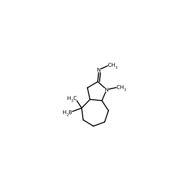 BC1(C)CCCCC2C1C/C(=N/C)N2C